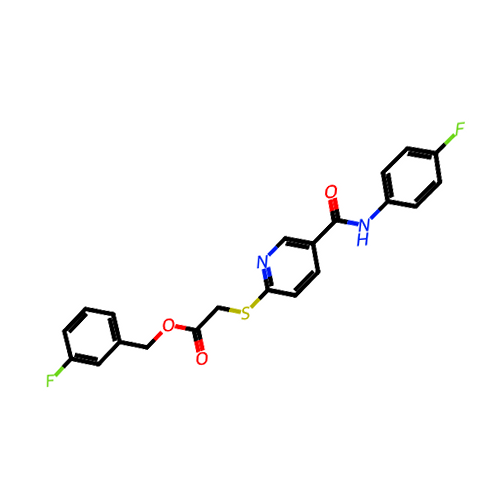 O=C(CSc1ccc(C(=O)Nc2ccc(F)cc2)cn1)OCc1cccc(F)c1